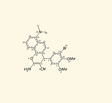 COc1cc(C2C(C#N)=C(N)Oc3c2ccc2c(N(C)C)cccc32)cc(Br)c1OC